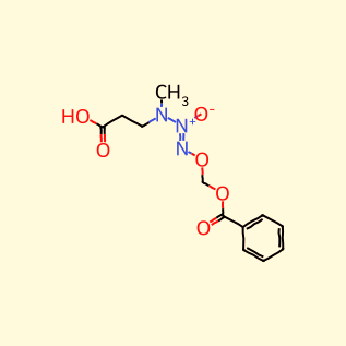 CN(CCC(=O)O)[N+]([O-])=NOCOC(=O)c1ccccc1